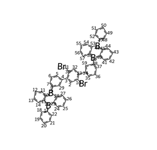 Brc1cc(-c2cccc(B3c4ccccc4B(c4ccccc4)c4ccccc43)c2)c(Br)cc1-c1cccc(B2c3ccccc3B(c3ccccc3)c3ccccc32)c1